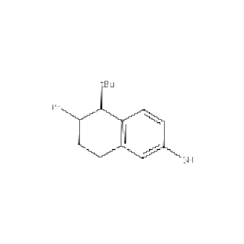 CC(C)C1CCc2cc(S)ccc2C1C(C)(C)C